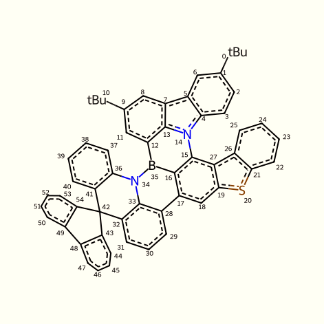 CC(C)(C)c1ccc2c(c1)c1cc(C(C)(C)C)cc3c1n2-c1c2c(cc4sc5ccccc5c14)-c1cccc4c1N(B23)c1ccccc1C41c2ccccc2-c2ccccc21